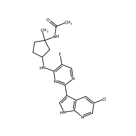 CC(=O)NC1(C)CCC(Nc2nc(-c3c[nH]c4ncc(Cl)cc34)ncc2F)C1